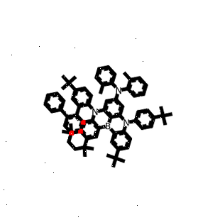 Cc1ccccc1N(c1cc2c3c(c1)N(c1ccc(C(C)(C)C)cc1-c1ccccc1-c1ccccc1)c1cc4c(cc1B3c1cc(C(C)(C)C)ccc1N2c1ccc(C(C)(C)C)cc1)C(C)(C)CCC4(C)C)c1ccccc1C